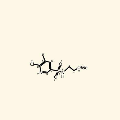 COCCNS(=O)(=O)c1cnc(Cl)c(C)c1